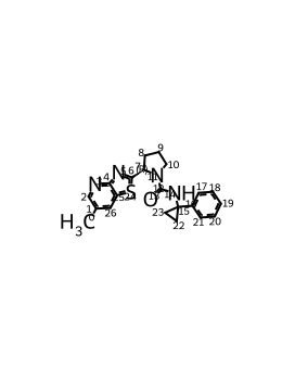 Cc1cnc2nc([C@H]3CCCN3C(=O)NC3(c4ccccc4)CC3)sc2c1